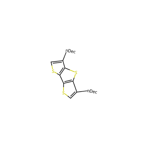 CCCCCCCCCCc1csc2c1sc1c(CCCCCCCCCC)csc12